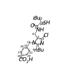 CCCCc1nc(Cl)c(CNC(=O)C(S)C(C)CC)n1Cc1ccc(C(=O)O)cc1